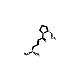 CC[C@H]1CCCN1C(=O)/C=C/CN(C)C